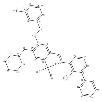 Cc1c(/C=C/c2cc(OCc3cncc(F)c3)c(CN3CCCCC3)cc2C(F)(F)F)cccc1-c1ccccc1